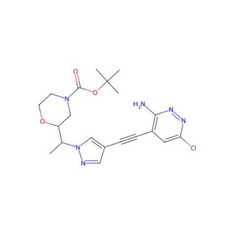 CC(C1CN(C(=O)OC(C)(C)C)CCO1)n1cc(C#Cc2cc(Cl)nnc2N)cn1